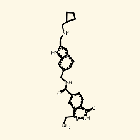 NCc1n[nH]c(=O)c2ccc(C(=O)NCc3ccc4cc(CNCC5CCC5)[nH]c4c3)cc12